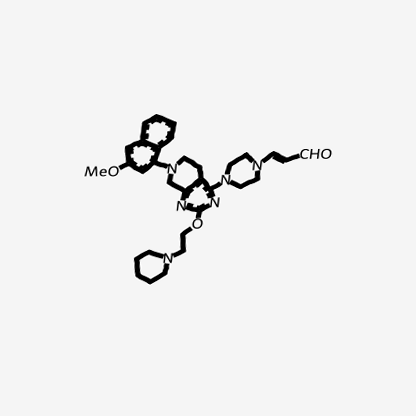 COc1cc(N2CCc3c(nc(OCCN4CCCCC4)nc3N3CCN(C=CC=O)CC3)C2)c2ccccc2c1